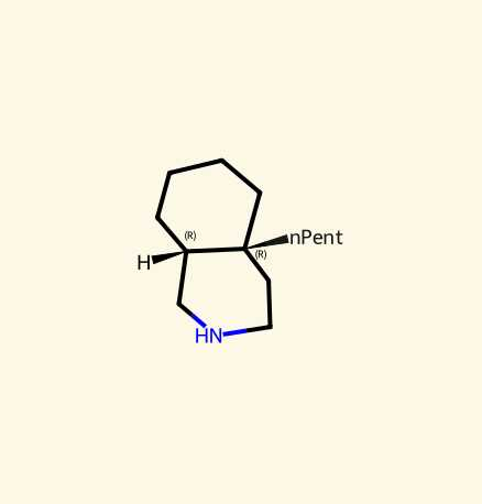 CCCCC[C@]12CCCC[C@H]1CNCC2